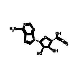 Nc1ncnc2c1ncn2[C@@H]1O[C@H](C(O)=C=S)[C@@H](O)[C@H]1O